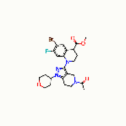 COC(=O)C1CCN(c2nn(C3CCOCC3)c3c2CN(C(C)=O)CC3)c2cc(F)c(Br)cc21